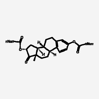 CCCCCCCCCC(=O)Oc1ccc2c(c1)CC[C@@H]1[C@@H]2CC[C@]2(C)C(=O)[C@H](OC(=O)CCCCCCCCC)C[C@@H]12